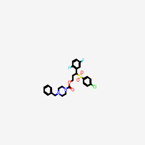 O=C(OCCC(c1cc(F)ccc1F)S(=O)(=O)c1ccc(Cl)cc1)N1CCN(Cc2ccccc2)CC1